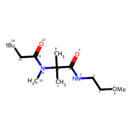 COCCNC(=O)C(C)(C)N(C)C(=O)CC(C)(C)C